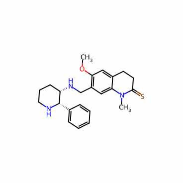 COc1cc2c(cc1CN[C@H]1CCCN[C@H]1c1ccccc1)N(C)C(=S)CC2